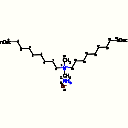 CCCCCCCCCCCCCCCCCC[N+](C)(C)CCCCCCCCCCCCCCCCCC.N.[Br-]